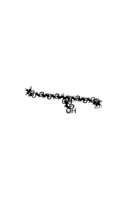 CC(C)(C)[Si](C)(C)OCCOCCOCCOCCC(COCCOCCOCCO[Si](C)(C)C(C)(C)C)OC(=O)CC(=O)O